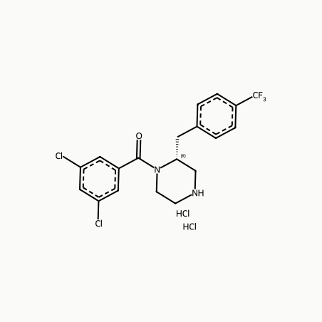 Cl.Cl.O=C(c1cc(Cl)cc(Cl)c1)N1CCNC[C@H]1Cc1ccc(C(F)(F)F)cc1